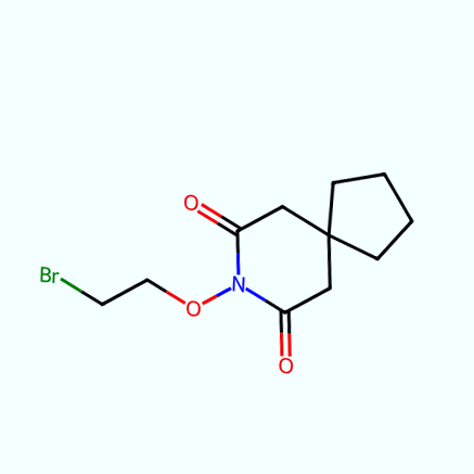 O=C1CC2(CCCC2)CC(=O)N1OCCBr